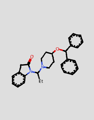 CCC(N1CCC(OC(c2ccccc2)c2ccccc2)CC1)N1C(=O)Cc2ccccc21